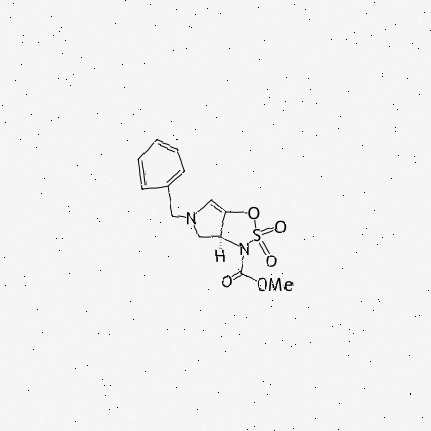 COC(=O)N1[C@H]2CN(Cc3ccccc3)C=C2OS1(=O)=O